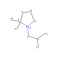 CC(C)CN1CCCC1(C)C